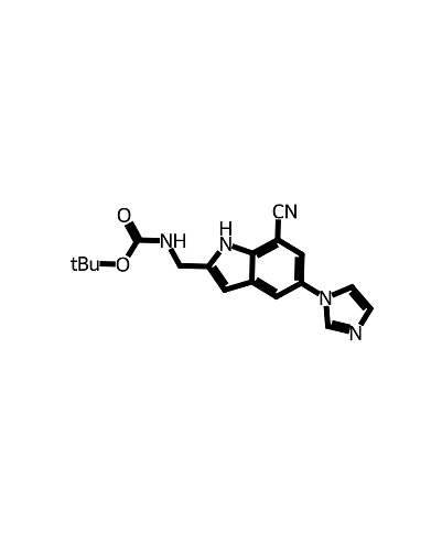 CC(C)(C)OC(=O)NCc1cc2cc(-n3ccnc3)cc(C#N)c2[nH]1